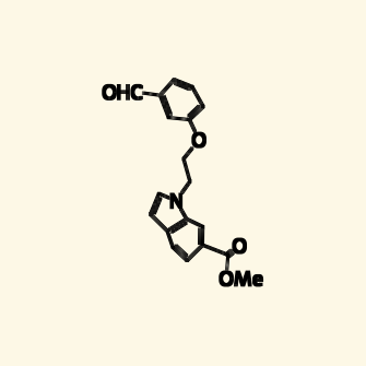 COC(=O)c1ccc2ccn(CCOc3cccc(C=O)c3)c2c1